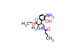 CCCC(=O)NSC(c1cccc(N)c1O)C(C)C(=O)OCC